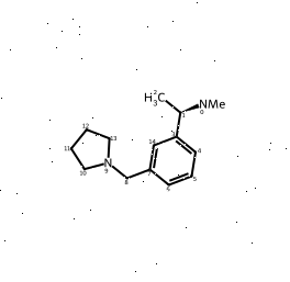 CN[C@H](C)c1cccc(CN2CCCC2)c1